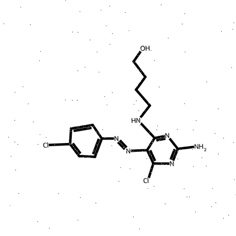 Nc1nc(Cl)c(N=Nc2ccc(Cl)cc2)c(NCCCCO)n1